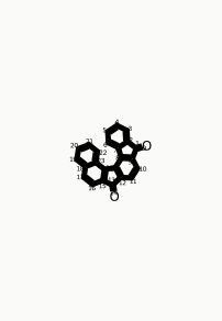 O=c1c2ccccc2c2c1ccc1c(=O)c3ccc4ccccc4c3c12